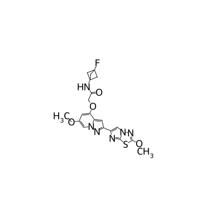 COc1cc(OCC(=O)NC23CC(F)(C2)C3)c2cc(-c3cn4nc(OC)sc4n3)nn2c1